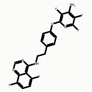 Nc1c(F)c(F)nc(Oc2ccc(CCNc3ncnc4c(F)ccc(F)c34)cc2)c1F